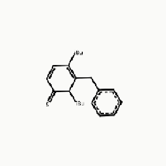 CCC(C)C1=C(Cc2ccccc2)C(C(C)CC)C(=S)[C]=C1